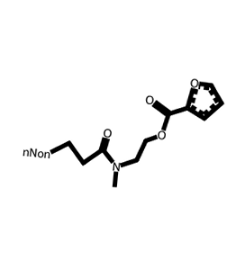 CCCCCCCCCCCC(=O)N(C)CCOC(=O)c1ccco1